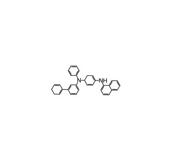 C1=CC(c2cccc(N(c3ccccc3)C3C=CC(Nc4cccc5ccccc45)=CC3)c2)=CCC1